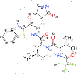 CC(C)[C@H](NC(=O)C(F)(F)F)C(=O)N1CC[C@@H](C)C[C@H]1C(=O)N[C@@H](C[C@@H]1CCNC1=O)C(=O)c1nc2ccccc2s1